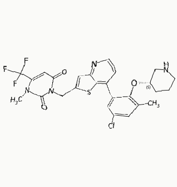 Cc1cc(Cl)cc(-c2ccnc3cc(Cn4c(=O)cc(C(F)(F)F)n(C)c4=O)sc23)c1O[C@H]1CCCNC1